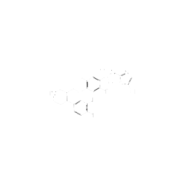 O=S(=O)(Nc1ncc(Cl)s1)c1cc(F)c(OCC2CNCCC2c2ccc(F)c(F)c2)cc1F